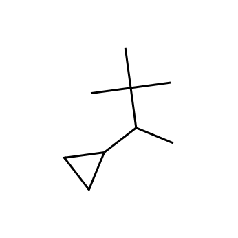 CC(C1CC1)C(C)(C)C